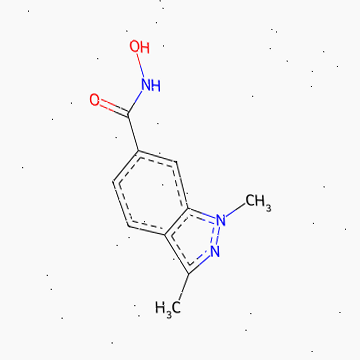 Cc1nn(C)c2cc(C(=O)NO)ccc12